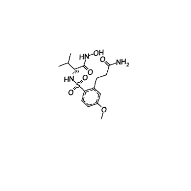 COc1ccc(S(=O)(=O)N[C@@H](C(=O)NO)C(C)C)c(CCC(N)=O)c1